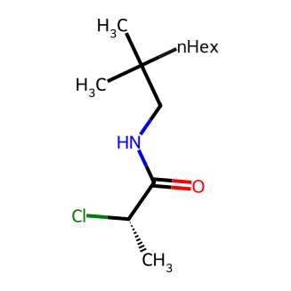 CCCCCCC(C)(C)CNC(=O)[C@H](C)Cl